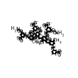 Cc1cc(N=Nc2cccc([N+](=O)[O-])c2)cc(Cc2cc(N=Nc3cc(OON)cc([N+](=O)[O-])c3)cc(Cc3cc(N=Nc4cc(OON)cc([N+](=O)[O-])c4)cc(Cc4cc(N=Nc5cc(OON)cc([N+](=O)[O-])c5)cc(C)c4O)c3O)c2O)c1O